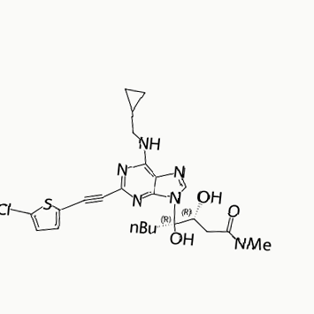 CCCC[C@@](O)([C@H](O)CC(=O)NC)n1cnc2c(NCC3CC3)nc(C#Cc3ccc(Cl)s3)nc21